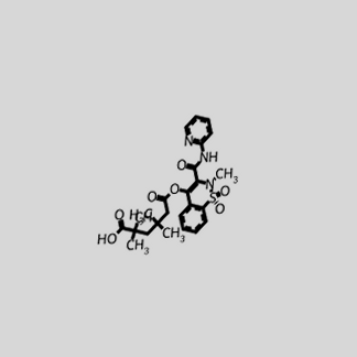 CN1C(C(=O)Nc2ccccn2)=C(OC(=O)CC(C)(C)CC(C)(C)C(=O)O)c2ccccc2S1(=O)=O